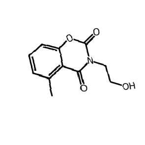 Cc1cccc2oc(=O)n(CCO)c(=O)c12